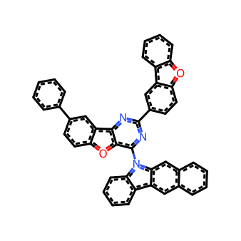 c1ccc(-c2ccc3oc4c(-n5c6ccccc6c6cc7ccccc7cc65)nc(-c5ccc6oc7ccccc7c6c5)nc4c3c2)cc1